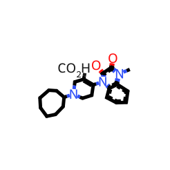 Cn1c(=O)c(=O)n(C2=C(C(=O)O)CN(C3CCCCCCC3)CC2)c2ccccc21